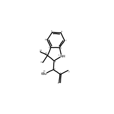 C=C(C)C(C1Nc2ccccc2C1(C)C)C(C)(C)C